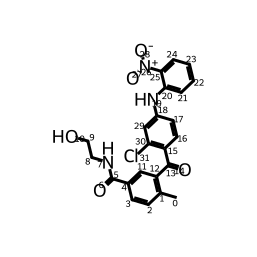 Cc1ccc(C(=O)NCCO)cc1C(=O)c1ccc(Nc2ccccc2[N+](=O)[O-])cc1Cl